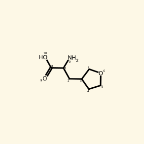 NC(CC1CCOC1)C(=O)O